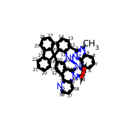 Cn1c2[n+](c3ccccc31)[N+]13c4c-2cccc4C2(c4ccccc4-c4ccccc42)c2ccc4c5ncccc5n5c6ccccc6[n+]1c5c4c23